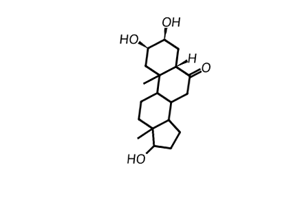 CC12CCC3C(CC(=O)[C@H]4C[C@H](O)[C@H](O)CC34C)C1CCC2O